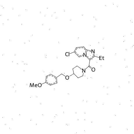 CCc1nc2ccc(Cl)cn2c1C(=O)N1CCC(OCc2ccc(OC)cc2)CC1